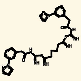 N=C(CCCCC(=N)SC(=N)NC(=O)Cc1cccc(-n2cccn2)c1)SC(=N)NC(=O)Cc1cccc(-n2cccn2)c1